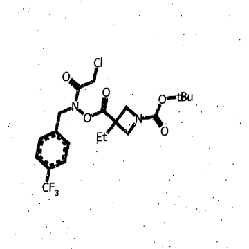 CCC1(C(=O)ON(Cc2ccc(C(F)(F)F)cc2)C(=O)CCl)CN(C(=O)OC(C)(C)C)C1